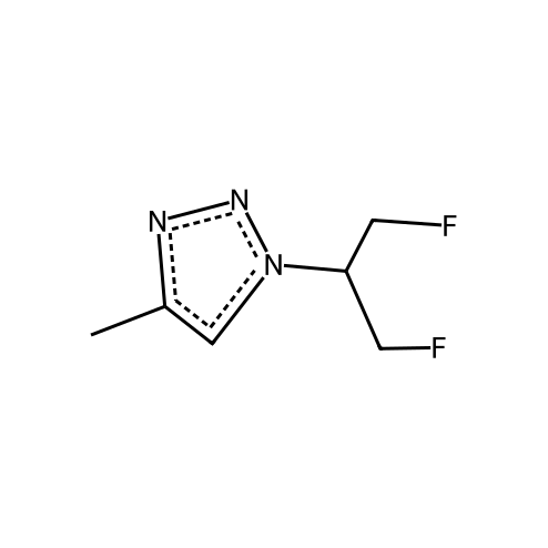 Cc1cn(C(CF)CF)nn1